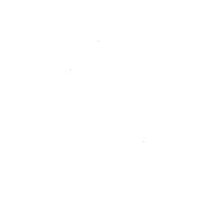 c1ccc(-n2c3cc(-c4cccc5c4c4ccccc4n5-c4ccccc4)ccc3c3ncccc32)cc1